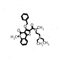 CCN(CC)CCN(C)C(=O)c1sc2c(c1OCc1ccccc1)c(=O)n(C)c1ccccc21